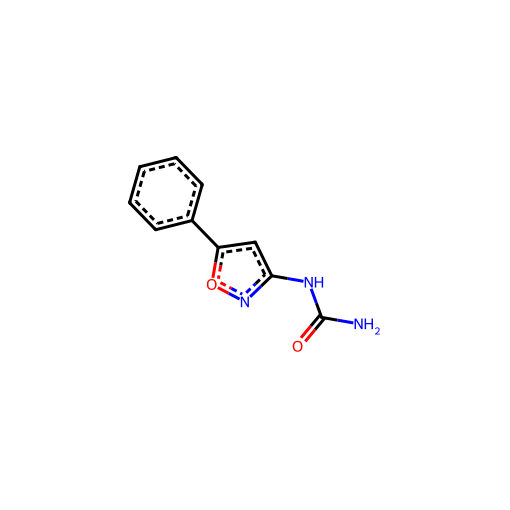 NC(=O)Nc1cc(-c2ccccc2)on1